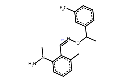 Cc1cccc(N(C)N)c1/C=N\OC(C)c1cccc(C(F)(F)F)c1